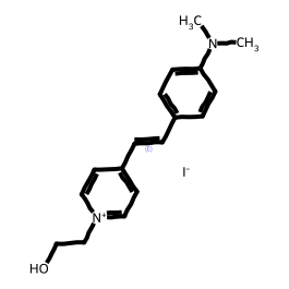 CN(C)c1ccc(/C=C/c2cc[n+](CCO)cc2)cc1.[I-]